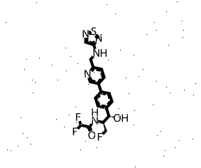 O=C(N[C@H](CF)[C@@H](O)c1ccc(-c2ccc(CNc3cnsn3)nc2)cc1)C(F)F